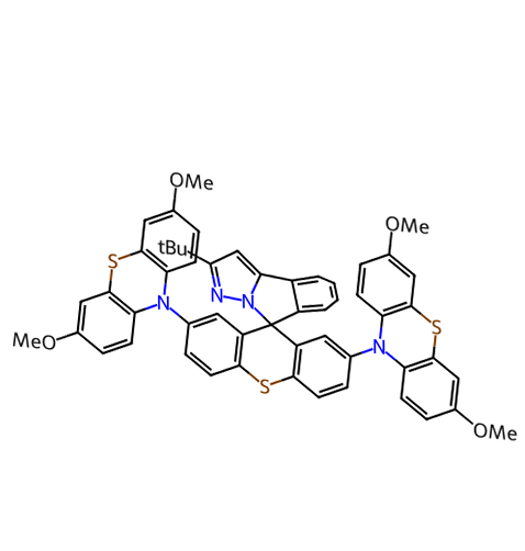 COc1ccc2c(c1)Sc1cc(OC)ccc1N2c1ccc2c(c1)C1(c3cc(N4c5ccc(OC)cc5Sc5cc(OC)ccc54)ccc3S2)c2ccccc2-c2cc(C(C)(C)C)nn21